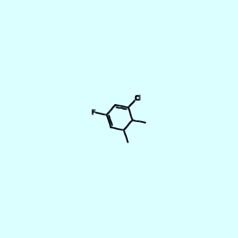 CC1C=C(F)C=C(Cl)C1C